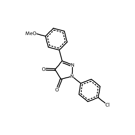 COc1cccc(C2=NN(c3ccc(Cl)cc3)C(=O)C2=O)c1